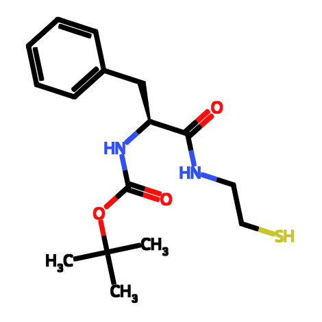 CC(C)(C)OC(=O)N[C@@H](Cc1ccccc1)C(=O)NCCS